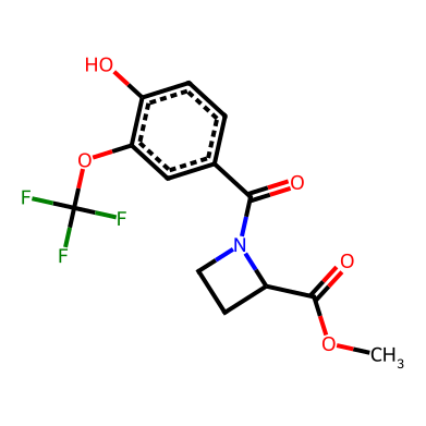 COC(=O)C1CCN1C(=O)c1ccc(O)c(OC(F)(F)F)c1